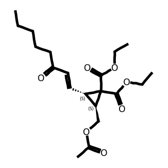 CCCCCC(=O)C=C[C@H]1[C@H](COC(C)=O)C1(C(=O)OCC)C(=O)OCC